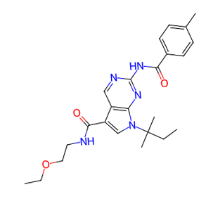 CCOCCNC(=O)c1cn(C(C)(C)CC)c2nc(NC(=O)c3ccc(C)cc3)ncc12